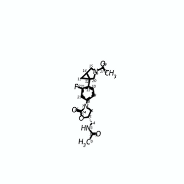 CC(=O)NC[C@H]1CN(c2ccc(C34CC3CN(C(C)=O)C4)c(F)c2)C(=O)O1